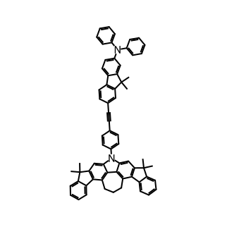 CC1(C)c2cc(C#Cc3ccc(-n4c5cc6c(c7c5c5c(c8c(cc54)C(C)(C)c4ccccc4-8)CCC7)-c4ccccc4C6(C)C)cc3)ccc2-c2ccc(N(c3ccccc3)c3ccccc3)cc21